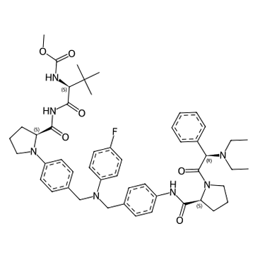 CCN(CC)[C@@H](C(=O)N1CCC[C@H]1C(=O)Nc1ccc(CN(Cc2ccc(N3CCC[C@H]3C(=O)NC(=O)[C@@H](NC(=O)OC)C(C)(C)C)cc2)c2ccc(F)cc2)cc1)c1ccccc1